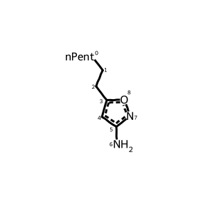 CCCCCCCc1cc(N)no1